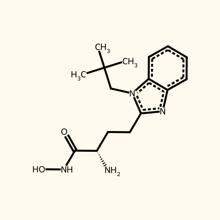 CC(C)(C)Cn1c(CC[C@H](N)C(=O)NO)nc2ccccc21